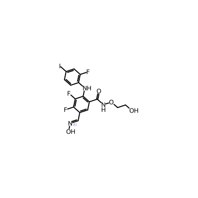 O=C(NOCCO)c1cc(/C=N/O)c(F)c(F)c1Nc1ccc(I)cc1F